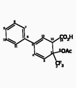 CC(=O)OC1(C(F)(F)F)C=CC(c2ccccc2)=CC1C(=O)O